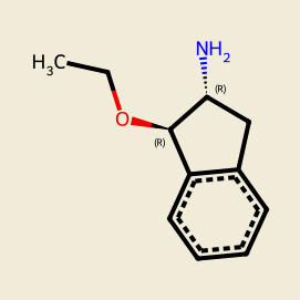 CCO[C@@H]1c2ccccc2C[C@H]1N